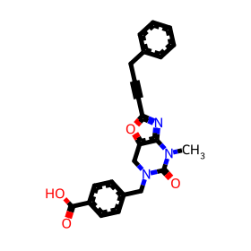 CN1C(=O)N(Cc2ccc(C(=O)O)cc2)Cc2oc(C#CCc3ccccc3)nc21